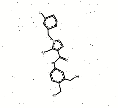 Cc1c(C(=O)Nc2ccc(CO)c(CO)c2)nnn1Cc1cccc(Cl)c1